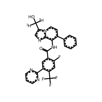 [2H]C([2H])(O)c1cnc2c(NC(=O)c3cc(-c4ncccn4)c(C(F)(F)F)cc3F)c(-c3ccccc3)ccn12